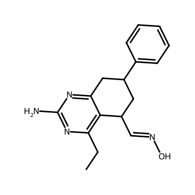 CCc1nc(N)nc2c1C(C=NO)CC(c1ccccc1)C2